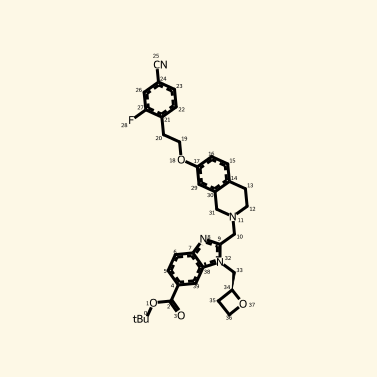 CC(C)(C)OC(=O)c1ccc2nc(CN3CCc4ccc(OCCc5ccc(C#N)cc5F)cc4C3)n(C[C@@H]3CCO3)c2c1